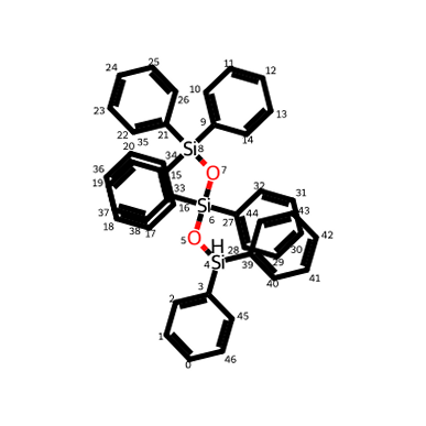 c1ccc([SiH](O[Si](O[Si](c2ccccc2)(c2ccccc2)c2ccccc2)(c2ccccc2)c2ccccc2)c2ccccc2)cc1